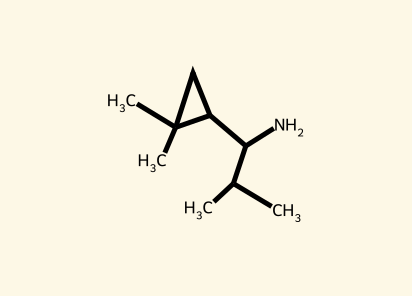 CC(C)C(N)C1CC1(C)C